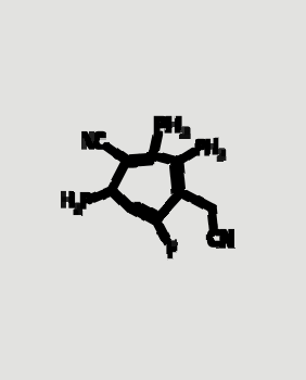 N#CCC1=C(P)C(P)=C(C#N)C(P)C=C1F